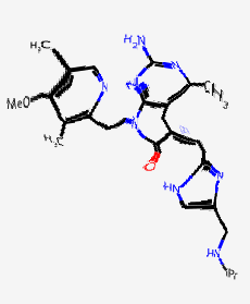 COc1c(C)cnc(CN2C(=O)/C(=C\c3nc(CNC(C)C)c[nH]3)c3c(C)nc(N)nc32)c1C